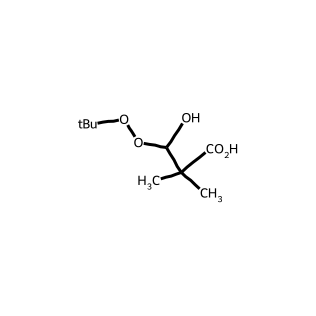 CC(C)(C)OOC(O)C(C)(C)C(=O)O